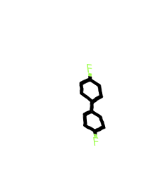 FC1CCC(C2CCC(F)CC2)CC1